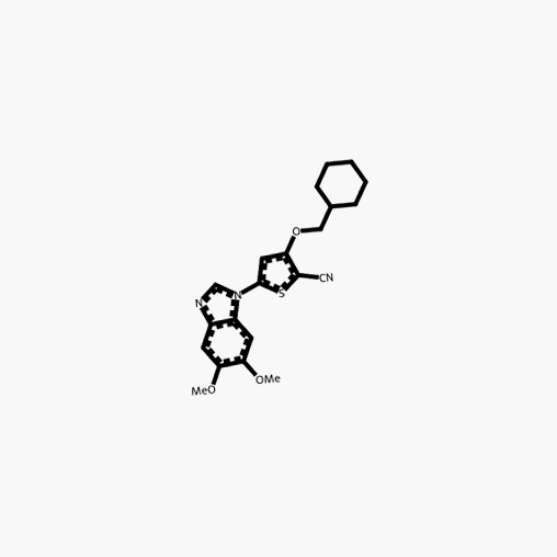 COc1cc2ncn(-c3cc(OCC4CCCCC4)c(C#N)s3)c2cc1OC